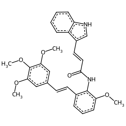 COc1cccc(/C=C/c2cc(OC)c(OC)c(OC)c2)c1NC(=O)/C=C/c1c[nH]c2ccccc12